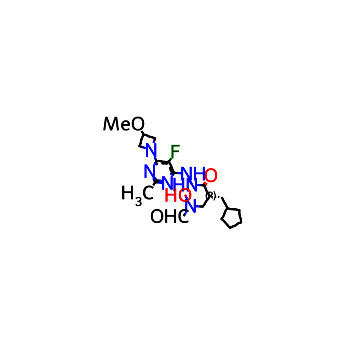 COC1CN(c2nc(C)nc(NNC(=O)[C@H](CC3CCCC3)CN(O)C=O)c2F)C1